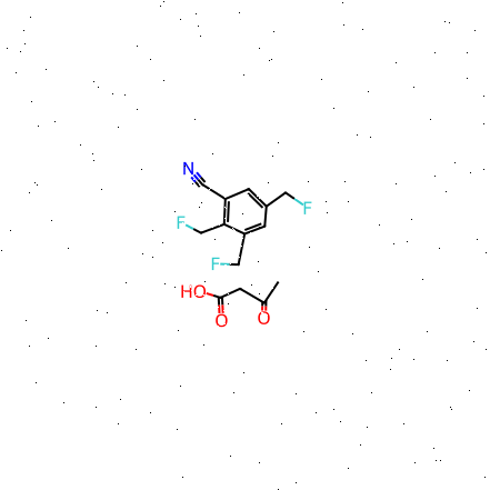 CC(=O)CC(=O)O.N#Cc1cc(CF)cc(CF)c1CF